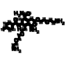 NCCOCCOCCc1c(NC(=O)c2ccc(I)cc2)cc(C(N)=O)c(CCOCCOCCN)c1C(N)=O